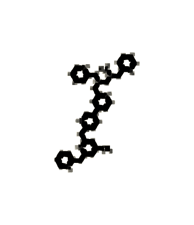 Cc1cc(Cc2ccccn2)nc(Cc2ccc(-c3ccnc(CN(Cc4ccccn4)CN(C)Cc4ccccn4)c3)cn2)c1